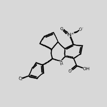 O=C(O)c1ccc([N+](=O)[O-])c2c1NC(c1ccc(Cl)cc1)C1CC=CC21